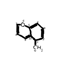 CC1C=CC=C2OC=CC=C21